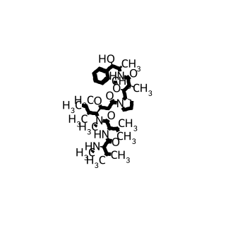 CC[C@H](C)[C@@H](C(CC(=O)N1CCC[C@H]1[C@H](OC)[C@@H](C)C(=O)N[C@H](C)[C@@H](O)c1ccccc1)OC)N(C)C(=O)C(NC(=O)[C@@H](NC)C(C)C)C(C)C